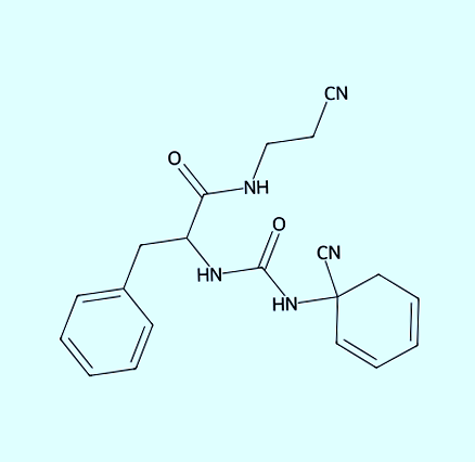 N#CCCNC(=O)C(Cc1ccccc1)NC(=O)NC1(C#N)C=CC=CC1